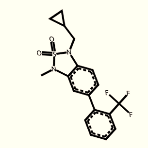 CN1c2cc(-c3ccccc3C(F)(F)F)ccc2N(CC2CC2)S1(=O)=O